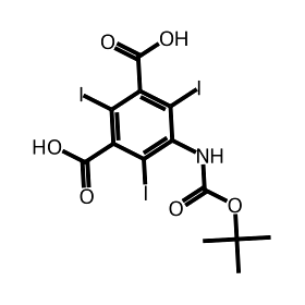 CC(C)(C)OC(=O)Nc1c(I)c(C(=O)O)c(I)c(C(=O)O)c1I